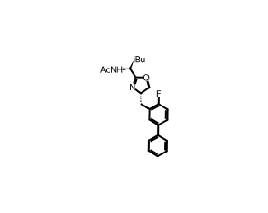 CC[C@H](C)[C@H](NC(C)=O)C1=N[C@@H](Cc2cc(-c3ccccc3)ccc2F)CO1